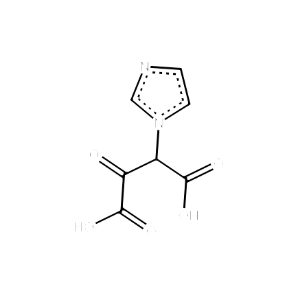 O=C(O)C(=O)C(C(=O)O)n1ccnc1